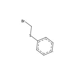 BrCSc1cc[c]cc1